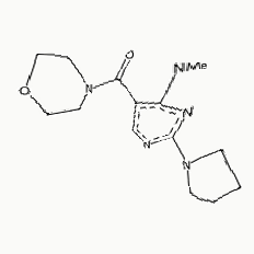 CNc1nc(N2CCCC2)ncc1C(=O)N1CCOCC1